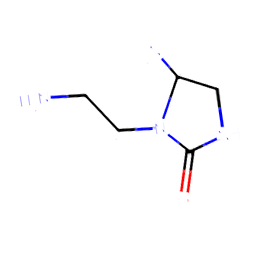 NCCN1C(=O)NCC1N